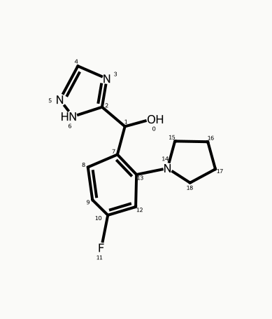 OC(c1ncn[nH]1)c1ccc(F)cc1N1CCCC1